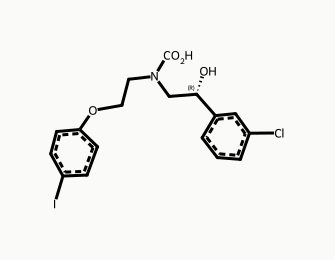 O=C(O)N(CCOc1ccc(I)cc1)C[C@H](O)c1cccc(Cl)c1